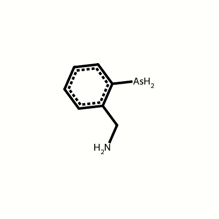 NCc1ccccc1[AsH2]